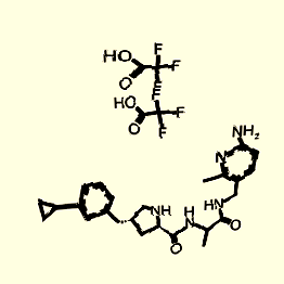 Cc1nc(N)ccc1CNC(=O)C(C)NC(=O)[C@H]1C[C@H](Cc2cccc(C3CC3)c2)CN1.O=C(O)C(F)(F)F.O=C(O)C(F)(F)F